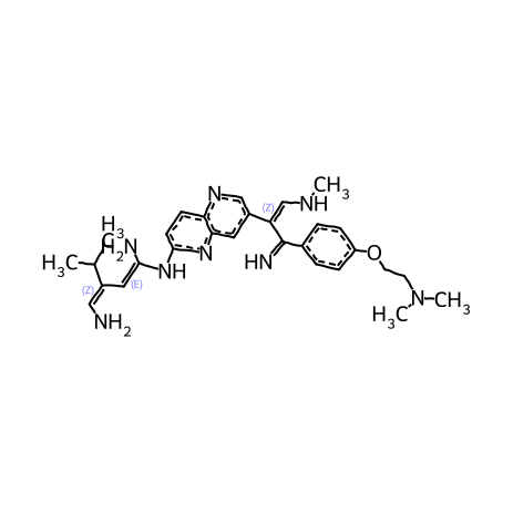 CN/C=C(\C(=N)c1ccc(OCCN(C)C)cc1)c1cnc2ccc(N/C(N)=C/C(=C\N)C(C)C)nc2c1